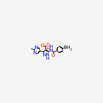 Bc1ccc(C(=O)Nc2[nH]nc(-c3cnc(C)nc3)c2C(=O)O)cc1